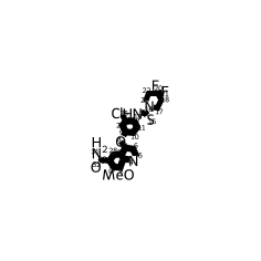 COc1cc2nccc(Oc3ccc(NC(=S)N4CCC(F)(F)CC4)c(Cl)c3)c2cc1C(N)=O